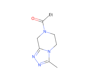 CCC(=O)N1CCn2c(C)nnc2C1